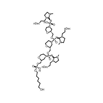 CCCCCCCCCCCCN1CCN(C)/C1=N/P(=O)(O)N1CCO[C@H](COP(=O)(/N=C2\N(C)CCN2CCCCCCCCCCCC)N2CCO[C@H](COP(=O)(/N=C3/N(C)CCN3CCCCCCCCCCCC)N3CCO[C@H](COP(=O)(O)OCCCCCCO)C3)C2)C1